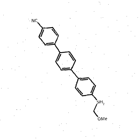 COC[SiH2]c1ccc(-c2ccc(-c3ccc(C#N)cc3)cc2)cc1